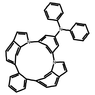 c1ccc(N(c2ccccc2)c2cc3cc(c2)n2ccc4ccc(cc42)c2ccccc2c2ccc4ccn3c4c2)cc1